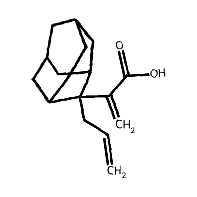 C=CCC1(C(=C)C(=O)O)C2CC3CC(C2)CC1C3